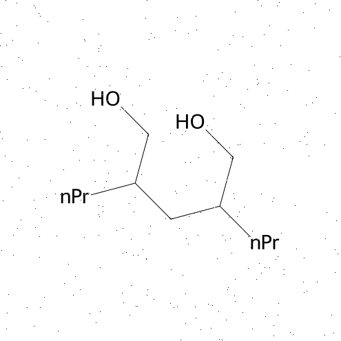 CCCC(CO)CC(CO)CCC